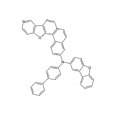 c1ccc(-c2ccc(N(c3ccc4c(ccc5ccc6c7cnccc7oc6c54)c3)c3ccc4oc5ccccc5c4c3)cc2)cc1